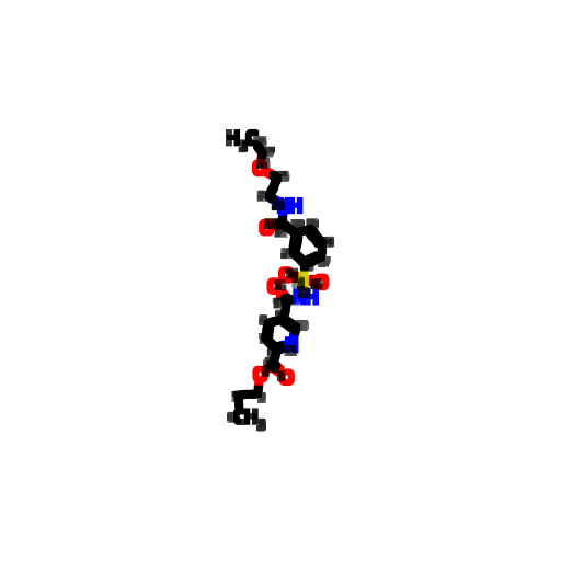 CCCOC(=O)c1ccc(C(=O)NS(=O)(=O)c2cccc(C(=O)NCCOCC)c2)cn1